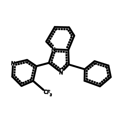 FC(F)(F)c1ccncc1-c1nc(-c2ccccc2)c2ccccn12